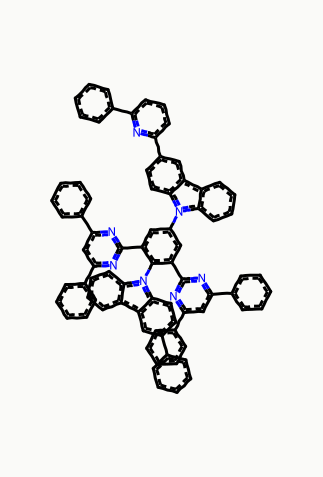 c1ccc(-c2ccc3c(c2)c2ccccc2n3-c2c(-c3nc(-c4ccccc4)cc(-c4ccccc4)n3)cc(-n3c4ccccc4c4cc(-c5cccc(-c6ccccc6)n5)ccc43)cc2-c2nc(-c3ccccc3)cc(-c3ccccc3)n2)cc1